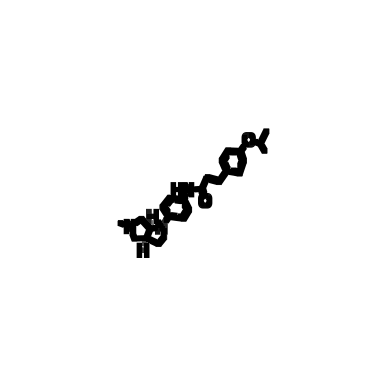 CC(C)Oc1ccc(/C=C/C(=O)Nc2ccc(N3CC[C@H]4CN(C)C[C@H]43)cc2)cc1